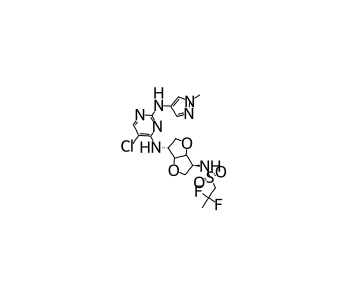 Cn1cc(Nc2ncc(Cl)c(N[C@@H]3COC4C3OC[C@@H]4NS(=O)(=O)CC(C)(F)F)n2)cn1